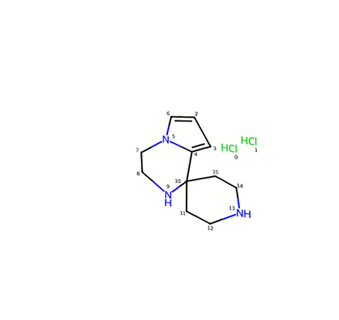 Cl.Cl.c1cc2n(c1)CCNC21CCNCC1